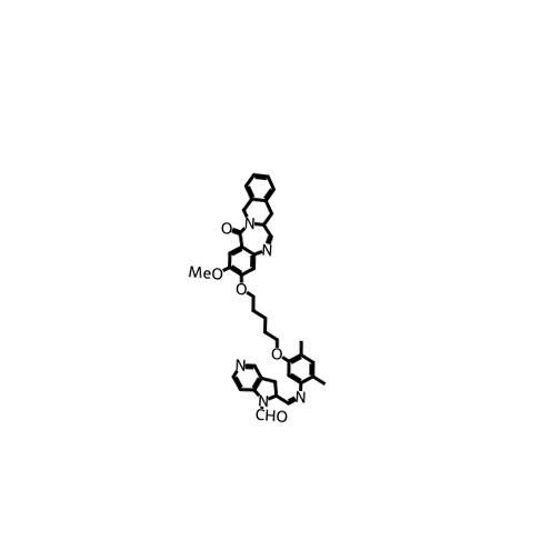 COc1cc2c(cc1OCCCCCOc1cc(/N=C\C3Cc4cnccc4N3C=O)c(C)cc1C)N=CC1Cc3ccccc3CN1C2=O